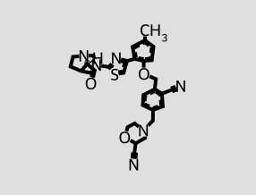 Cc1ccc(OCc2ccc(CN3CCOC(C#N)C3)cc2C#N)c(-c2csc(N3CC4CCN(C3)[C@H]4C=O)n2)c1